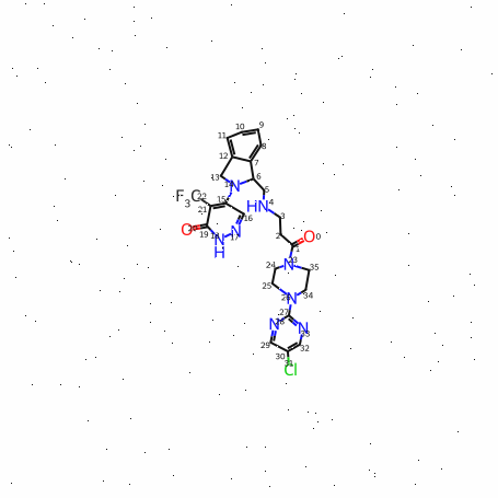 O=C(CCNCC1c2ccccc2CN1c1cn[nH]c(=O)c1C(F)(F)F)N1CCN(c2ncc(Cl)cn2)CC1